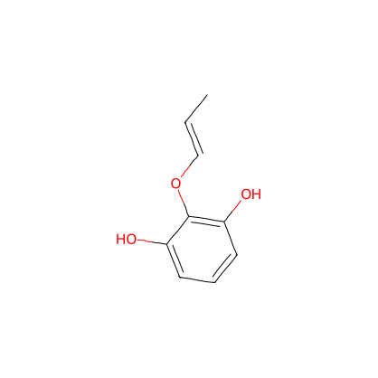 CC=COc1c(O)cccc1O